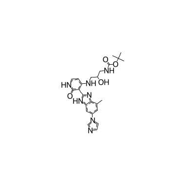 Cc1cc(-n2ccnc2)cc2[nH]c(-c3c(NCC(O)CNC(=O)OC(C)(C)C)cc[nH]c3=O)nc12